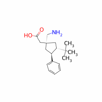 CC(C)(C)[C@H]1C[C@](CN)(CC(=O)O)C[C@@H]1c1ccccc1